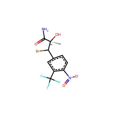 C[C@@](O)(C(N)=O)C(Br)c1ccc([N+](=O)[O-])c(C(F)(F)F)c1